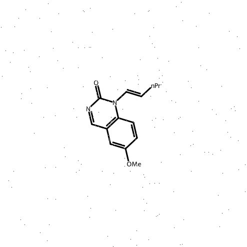 CCCC=Cn1c(=O)ncc2cc(OC)ccc21